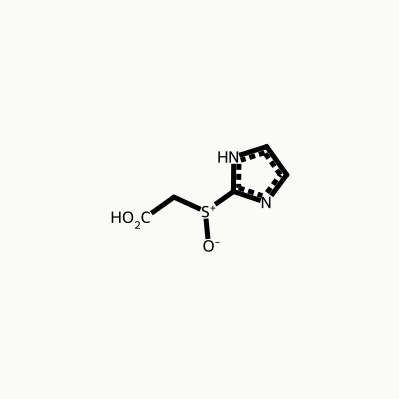 O=C(O)C[S+]([O-])c1ncc[nH]1